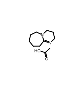 C1CCC2=NCCCN2CC1.CC(=O)O